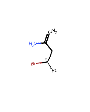 C=C(N)C[C@@H](Br)CC